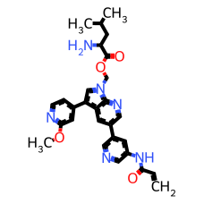 C=CC(=O)Nc1cncc(-c2cnc3c(c2)c(-c2ccnc(OC)c2)cn3COC(=O)C(N)CC(C)C)c1